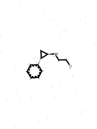 ClCCN[C@@H]1C[C@H]1c1ccccc1